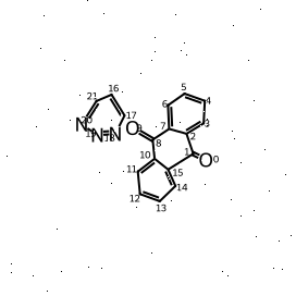 O=C1c2ccccc2C(=O)c2ccccc21.c1cnnnc1